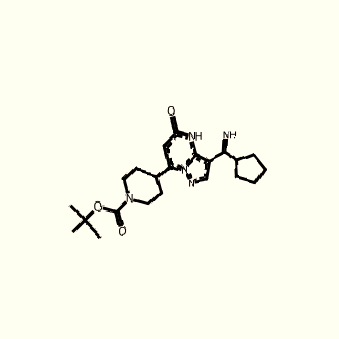 CC(C)(C)OC(=O)N1CCC(c2cc(=O)[nH]c3c(C(=N)C4CCCC4)cnn23)CC1